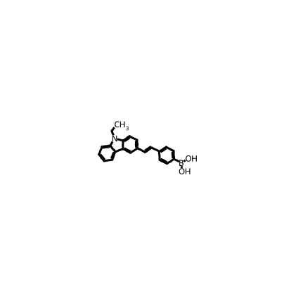 CCn1c2ccccc2c2cc(/C=C/c3ccc(B(O)O)cc3)ccc21